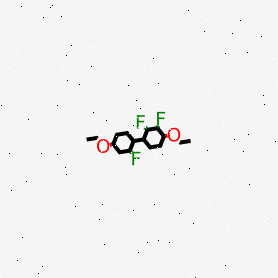 CCOC1CCC(C2CCC(OCC)C(F)C2F)C(F)C1